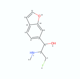 CNC(CF)C(O)c1ccc2ccoc2c1